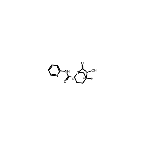 O=C(Nc1ccccn1)[C@@H]1CC[C@@H]2CN1C(=O)N2O